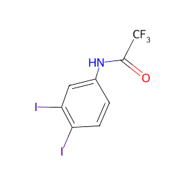 O=C(Nc1ccc(I)c(I)c1)C(F)(F)F